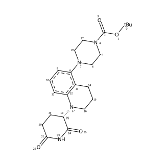 CC(C)(C)OC(=O)N1CCN(c2cccc3c2CCCN3[C@H]2CCC(=O)NC2=O)CC1